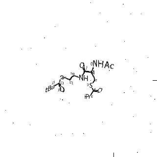 CC(=O)N[C@@H](CSC(=O)C(C)C)C(=O)NCCSC(=O)C(C)(C)C